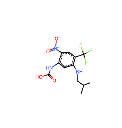 CC(C)CNc1cc(NC(=O)O)c([N+](=O)[O-])cc1C(F)(F)F